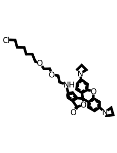 O=C1OC2(c3ccc(N4CCC4)cc3Oc3cc(N4CCC4)ccc32)c2cc(NCCOCCOCCCCCCCl)ccc21